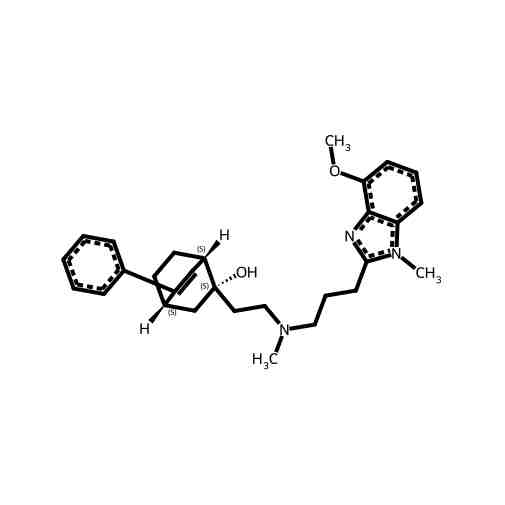 COc1cccc2c1nc(CCCN(C)CC[C@@]1(O)C[C@@H]3CC[C@H]1C=C3c1ccccc1)n2C